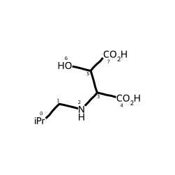 CC(C)CNC(C(=O)O)C(O)C(=O)O